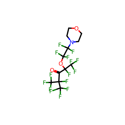 O=C(C(F)(OC(F)(F)C(F)(F)N1CCOCC1)C(F)(F)F)C(F)(C(F)(F)F)C(F)(F)F